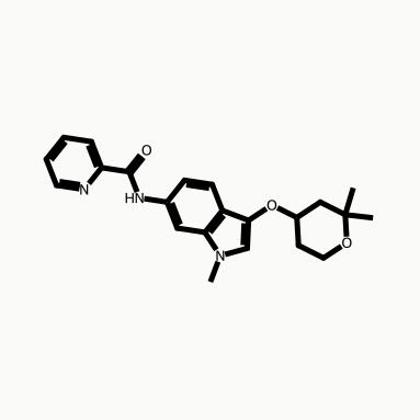 Cn1cc(OC2CCOC(C)(C)C2)c2ccc(NC(=O)c3ccccn3)cc21